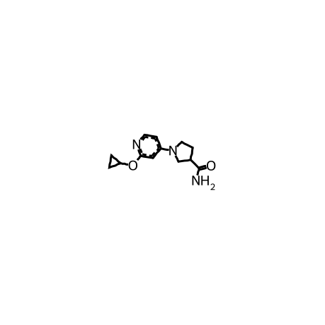 NC(=O)C1CCN(c2ccnc(OC3CC3)c2)C1